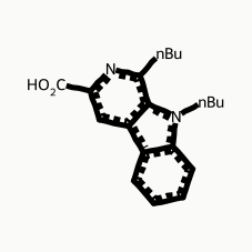 CCCCc1nc(C(=O)O)cc2c3ccccc3n(CCCC)c12